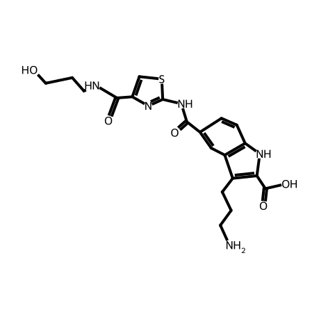 NCCCc1c(C(=O)O)[nH]c2ccc(C(=O)Nc3nc(C(=O)NCCCO)cs3)cc12